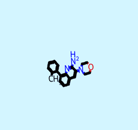 Cc1ccccc1-c1cccc2cc(N3CCOCC3)c(N)nc12